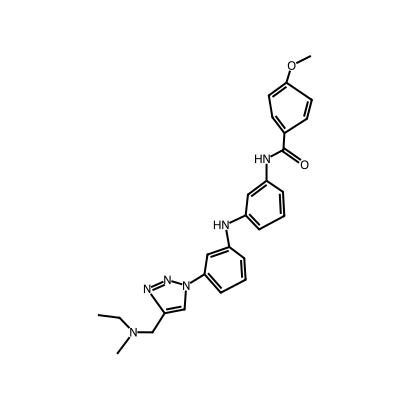 CCN(C)Cc1cn(-c2cccc(Nc3cccc(NC(=O)c4ccc(OC)cc4)c3)c2)nn1